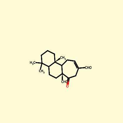 CC1(C)CCC[C@@]2(C)C1CC[C@@]1(C=O)C(=O)CC(C=O)=CCC21